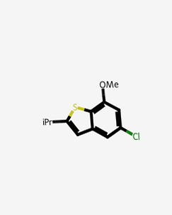 COc1cc(Cl)cc2cc(C(C)C)sc12